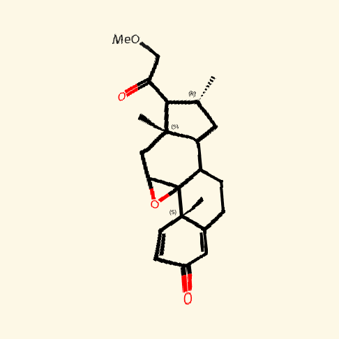 COCC(=O)C1[C@H](C)CC2C3CCC4=CC(=O)C=C[C@]4(C)C34OC4C[C@@]21C